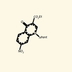 CCCCCn1cc(C(=O)OCC)c(=O)c2ccc([N+](=O)[O-])cc21